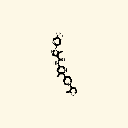 Cc1cc(NC(=O)c2cnn(-c3ccc(C(F)(F)F)cn3)c2C)cnc1C1=CCN(C2CCOC2C)CC1